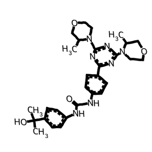 CC1COCCN1c1nc(-c2ccc(NC(=O)Nc3ccc(C(C)(C)O)cc3)cc2)nc(N2CCOCC2C)n1